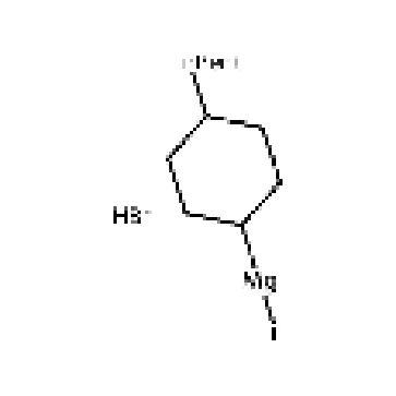 Br.CCCCCC1CC[CH]([Mg][F])CC1